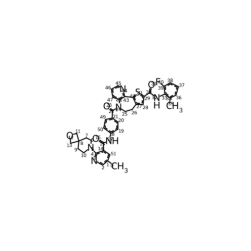 Cc1cnc(N2CCC3(CC2)COC3)c(C(=O)Nc2ccc(C(=O)N3CCc4cc(C(=O)Nc5c(C)cccc5F)sc4-c4ncccc43)cc2)c1